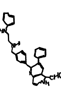 O=CC1NC=Cc2nc(-c3ccc(CNCCNc4ccccc4)cc3)c(-c3ccccc3)cc21